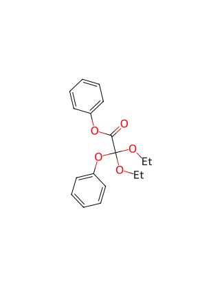 CCOC(OCC)(Oc1ccccc1)C(=O)Oc1ccccc1